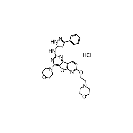 Cl.c1ccc(-c2cc(Nc3nc(N4CCOCC4)c4oc5nc(OCCN6CCOCC6)ccc5c4n3)[nH]n2)cc1